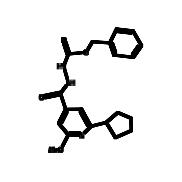 COc1cc(C(=O)NNC(=O)OCc2ccccc2)cc(C2CCCC2)n1